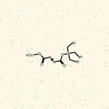 CCCCCCCCOC(=O)/N=N/C(=O)O[Si](CC(C)C)(CC(C)C)CC(C)C